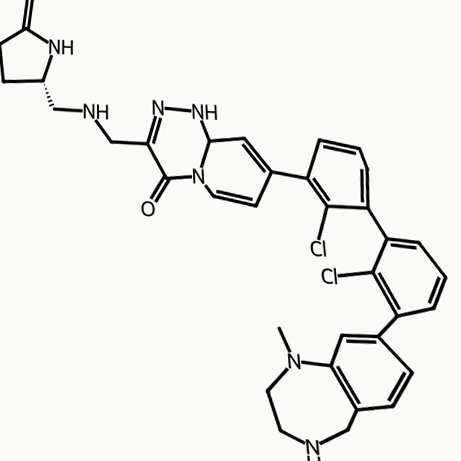 CN1CCNCc2ccc(-c3cccc(-c4cccc(C5=CC6NN=C(CNC[C@@H]7CCC(=O)N7)C(=O)N6C=C5)c4Cl)c3Cl)cc21